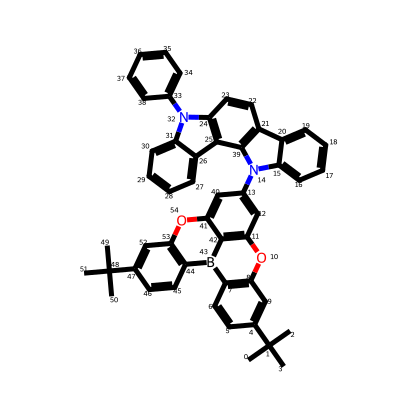 CC(C)(C)c1ccc2c(c1)Oc1cc(-n3c4ccccc4c4ccc5c(c6ccccc6n5-c5ccccc5)c43)cc3c1B2c1ccc(C(C)(C)C)cc1O3